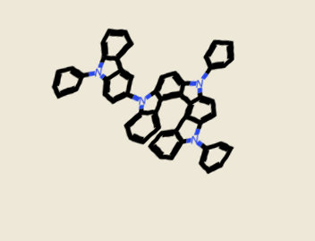 c1ccc(-n2c3ccccc3c3cc(-n4c5ccccc5c5c6c7c8c9ccccc9n(-c9ccccc9)c8ccc7n(-c7ccccc7)c6ccc54)ccc32)cc1